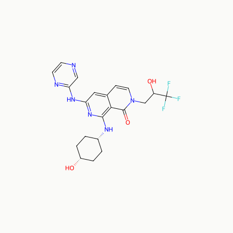 O=c1c2c(N[C@H]3CC[C@@H](O)CC3)nc(Nc3cnccn3)cc2ccn1CC(O)C(F)(F)F